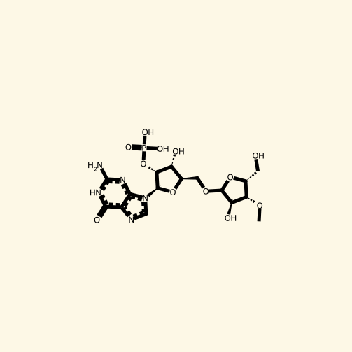 CO[C@H]1[C@@H](CO)OC(OC[C@H]2O[C@@H](n3cnc4c(=O)[nH]c(N)nc43)[C@H](OP(=O)(O)O)[C@@H]2O)[C@@H]1O